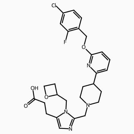 O=C(O)CCc1cnc(CN2CCC(c3cccc(OCc4ccc(Cl)cc4F)n3)CC2)n1CC1CCO1